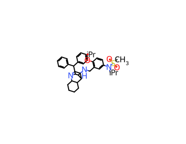 CC(C)Oc1ccc(N(C(C)C)S(C)(=O)=O)cc1CNC1C2CCN(C3CCCCC23)C1C(c1ccccc1)c1ccccc1